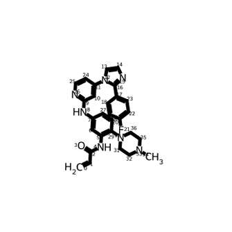 C=CC(=O)Nc1cc(Nc2cc(-n3ccnc3-c3ccc(F)cc3)ccn2)ccc1N1CCN(C)CC1